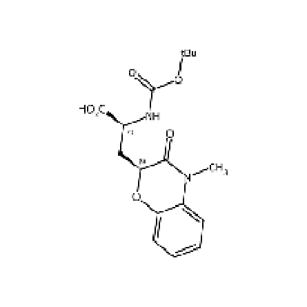 CN1C(=O)[C@H](C[C@H](NC(=O)OC(C)(C)C)C(=O)O)Oc2ccccc21